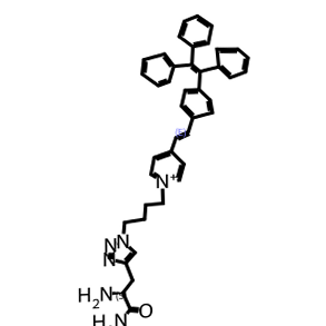 NC(=O)[C@@H](N)Cc1cn(CCCC[n+]2ccc(/C=C/c3ccc(C(=C(c4ccccc4)c4ccccc4)c4ccccc4)cc3)cc2)nn1